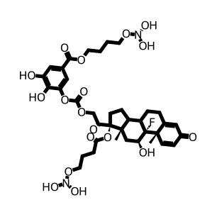 C[C@]12C=CC(=O)C=C1CCC1C3CC[C@](OC(=O)CCCON(O)O)(C(=O)COC(=O)Oc4cc(C(=O)OCCCCON(O)O)cc(O)c4O)[C@@]3(C)C[C@H](O)[C@@]12F